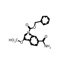 NC(=O)c1ccc2c(OC(=O)O)cn(C(=O)OCc3ccccc3)c2c1